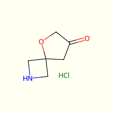 Cl.O=C1COC2(CNC2)C1